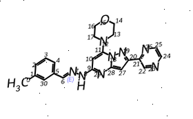 Cc1cccc(/C=N/Nc2cc(N3CCOCC3)n3nc(-c4cnccn4)cc3n2)c1